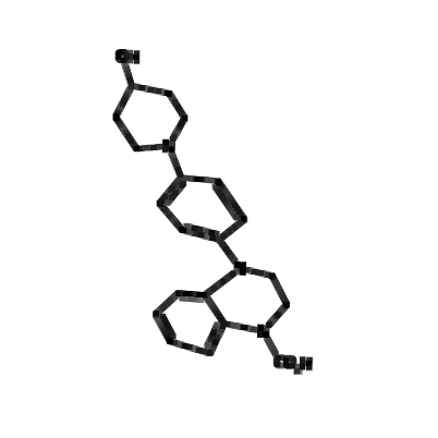 O=C(O)N1CCN(c2ccc(N3CCC(O)CC3)cc2)c2ccccc21